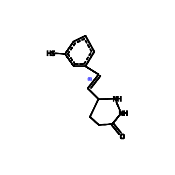 O=C1CCC(/C=C/c2cccc(S)c2)NN1